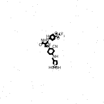 N#CC1CC(NCC2CCS(O)(O)C2)CCC1n1cc(C(N)=O)c(Nc2ccc(S(=O)(=O)C(F)(F)F)cc2)n1